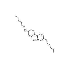 CCCCCCOC1CCC2C(CCC3CC(CCCCCC)CCC32)C1